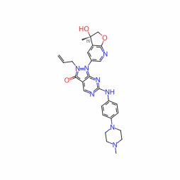 C=CCn1c(=O)c2cnc(Nc3ccc(N4CCN(C)CC4)cc3)nc2n1-c1cnc2c(c1)[C@](C)(O)CO2